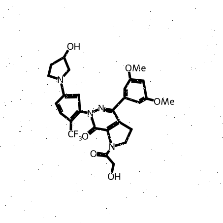 COc1cc(OC)cc(-c2nn(-c3cc(N4CCC(O)C4)ccc3C(F)(F)F)c(=O)c3c2CCN3C(=O)CO)c1